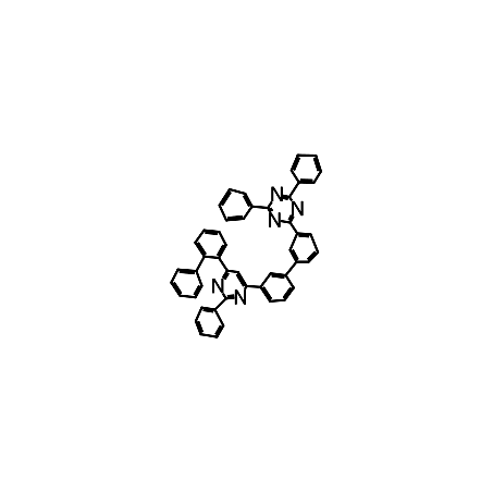 c1ccc(-c2nc(-c3cccc(-c4cccc(-c5nc(-c6ccccc6)nc(-c6ccccc6)n5)c4)c3)cc(-c3ccccc3-c3ccccc3)n2)cc1